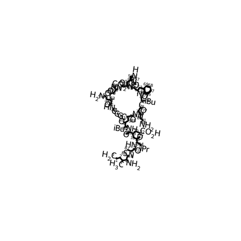 C=CCC(C)C(N)C1=NC(C(=O)NC(CC(C)C)C(=O)CC(CCC(=O)O)C(=O)NC(C(=O)CC2CCCCNC(=O)C(CC(N)=O)CC(=O)C(CC(=O)O)NC(=O)C(Cc3c[nH]cn3)NC(=O)C(Cc3ccccc3)NC(=O)C(C(C)CC)CC(=O)C(CCCN)NC2=O)C(C)CC)CS1